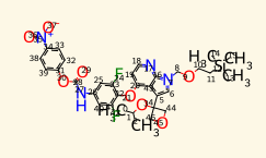 CC(C)OC1(c2cn(COCC[Si](C)(C)C)c3nccc(Oc4c(F)cc(NC(=O)Oc5ccc([N+](=O)[O-])cc5)cc4F)c23)COC1